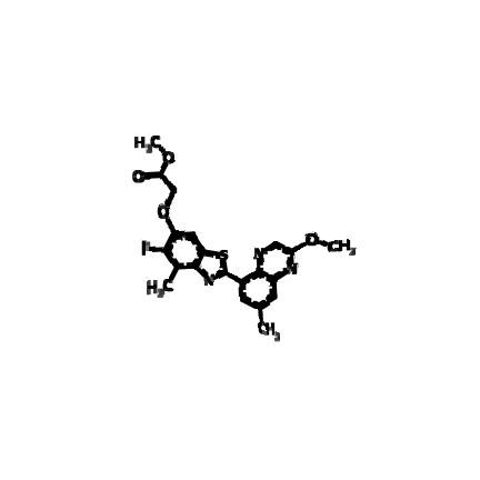 COC(=O)COc1cc2sc(-c3cc(C)cc4nc(OC)cnc34)nc2c(C)c1F